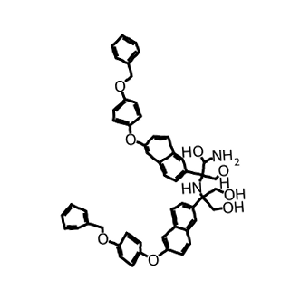 NC(O)C(CO)(NC(CO)(CO)c1ccc2cc(Oc3ccc(OCc4ccccc4)cc3)ccc2c1)c1ccc2cc(Oc3ccc(OCc4ccccc4)cc3)ccc2c1